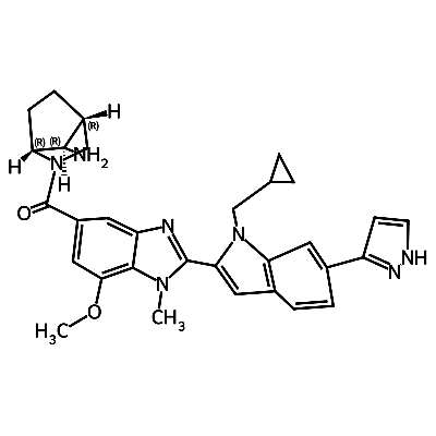 COc1cc(C(=O)N2C[C@H]3CC[C@@H]2[C@@H]3N)cc2nc(-c3cc4ccc(-c5cc[nH]n5)cc4n3CC3CC3)n(C)c12